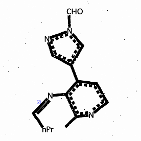 CCC/C=N\c1c(-c2cnn(C=O)c2)ccnc1C